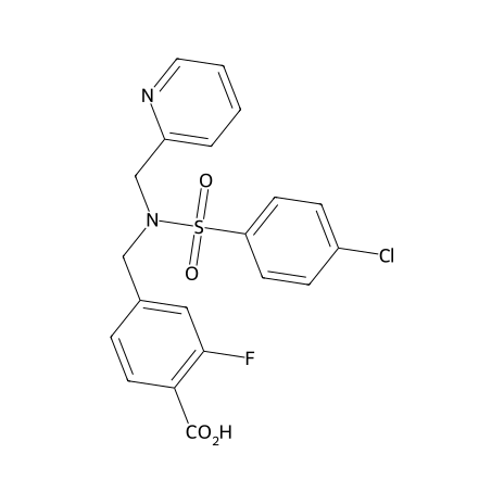 O=C(O)c1ccc(CN(Cc2ccccn2)S(=O)(=O)c2ccc(Cl)cc2)cc1F